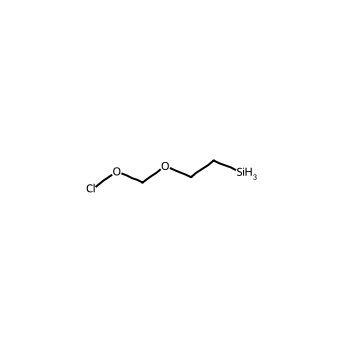 [SiH3]CCOCOCl